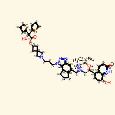 CC(C)(C)[Si](C)(C)O[C@@H](CNCc1cc2nnn(CCCN3CC4(CC(OC(=O)C(O)(c5cccs5)c5cccs5)C4)C3)c2c2c1CCC2)c1ccc(O)c2[nH]c(=O)ccc12